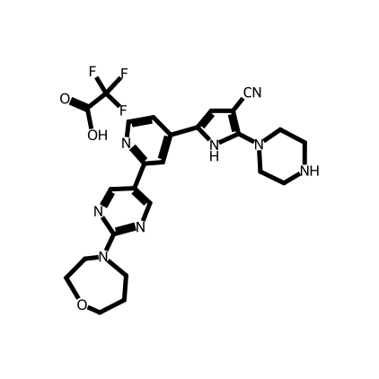 N#Cc1cc(-c2ccnc(-c3cnc(N4CCCOCC4)nc3)c2)[nH]c1N1CCNCC1.O=C(O)C(F)(F)F